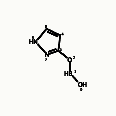 OBOc1cc[nH]n1